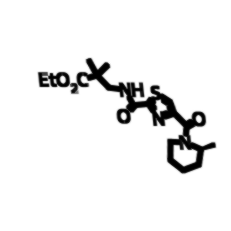 CCOC(=O)C(C)(C)CNC(=O)c1nc(C(=O)N2CCCC[C@@H]2C)cs1